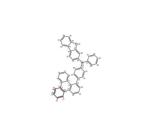 c1ccc(-c2ccccc2-c2c(-c3ccccc3)cccc2-c2ccc(N(c3ccccc3)c3ccc4c(c3)oc3ccccc34)cc2)cc1